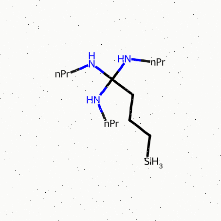 CCCNC(CCC[SiH3])(NCCC)NCCC